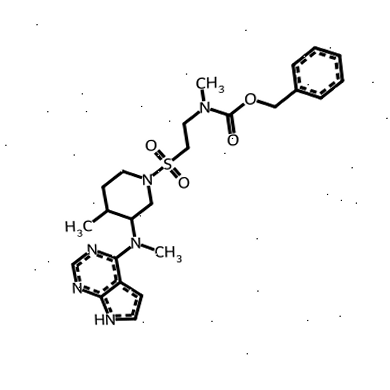 CC1CCN(S(=O)(=O)CCN(C)C(=O)OCc2ccccc2)CC1N(C)c1ncnc2[nH]ccc12